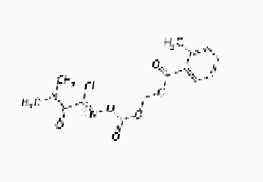 Cc1ccccc1C(=O)OCOC(=O)O/N=C(\Cl)C(=O)N(C)C